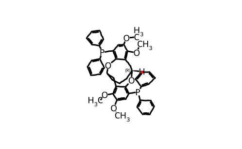 COc1cc(P(c2ccccc2)c2ccccc2)c2c(c1OC)C[C@H]1CCCC(Cc3c(OC)c(OC)cc(P(c4ccccc4)c4ccccc4)c3O1)O2